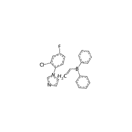 C=CB(c1ccccc1)c1ccccc1.Fc1ccc(-n2ccnc2)c(Cl)c1